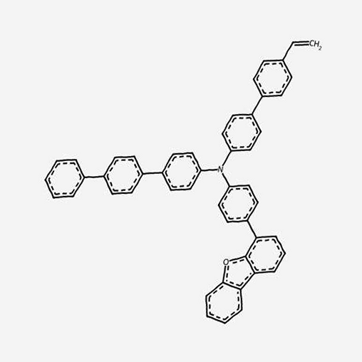 C=Cc1ccc(-c2ccc(N(c3ccc(-c4ccc(-c5ccccc5)cc4)cc3)c3ccc(-c4cccc5c4oc4ccccc45)cc3)cc2)cc1